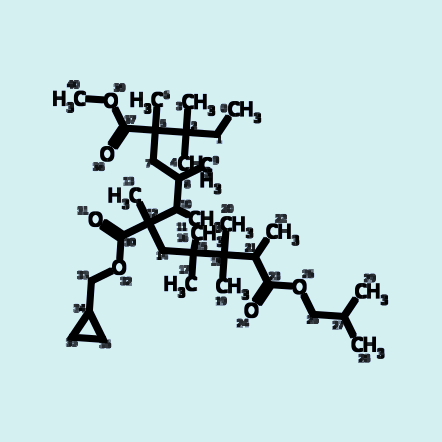 CCC(C)(C)C(C)(CC(C)C(C)C(C)(CC(C)(C)C(C)(C)C(C)C(=O)OCC(C)C)C(=O)OCC1CC1)C(=O)OC